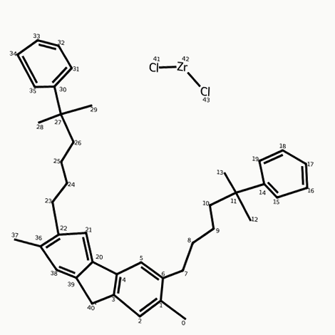 Cc1cc2c(cc1CCCCC(C)(C)c1ccccc1)-c1cc(CCCCC(C)(C)c3ccccc3)c(C)cc1[CH]2.[Cl][Zr][Cl]